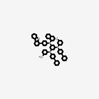 Cc1cccc(N(c2ccc(-c3ccccc3)cc2)c2cc(N(c3ccc(-c4ccccc4)cc3)c3cccc(C)c3)cc(N(c3ccc(-c4cccc5c4oc4ccccc45)cc3)c3cccc4ccccc34)c2)c1